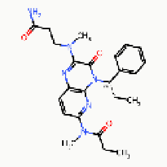 CCC(=O)N(C)c1ccc2nc(N(C)CCC(N)=O)c(=O)n([C@@H](CC)c3ccccc3)c2n1